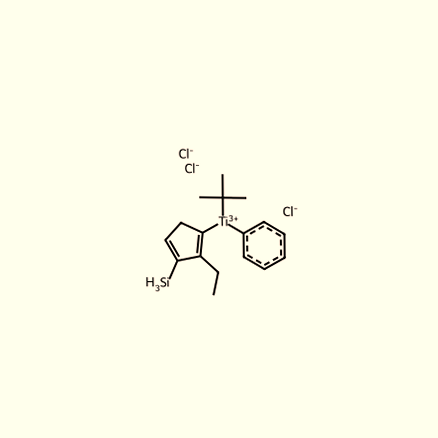 CCC1=[C]([Ti+3]([c]2ccccc2)[C](C)(C)C)CC=C1[SiH3].[Cl-].[Cl-].[Cl-]